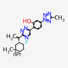 C=C(c1ncc(-c2ccc(-n3nnc(C)n3)cc2O)nn1)[C@@H]1C[C@](C)(CCC)CC[C@H]1F